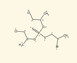 CC(Br)CSP(=S)(OC(C)CCl)OC(C)CCl